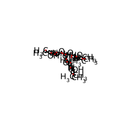 CC(C)c1ccc(-n2n3c4ccc(C(=O)NCC(CNC(=O)c5ccc6c(c5)n5n(-c7ccc(C(C)(C)C)cc7O)n65)OCCNC(=O)c5ccc6c(c5)n5n(-c7ccc(C(C)(C)C)cc7O)n65)cc4n23)c(O)c1